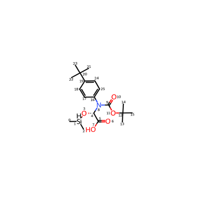 C[SiH](C)O[C@@H](C(=O)O)N(C(=O)OC(C)(C)C)c1ccc(C(C)(C)C)cc1